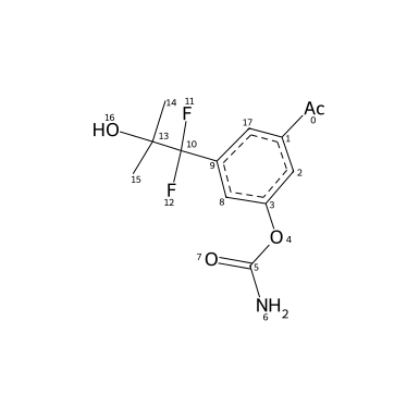 CC(=O)c1cc(OC(N)=O)cc(C(F)(F)C(C)(C)O)c1